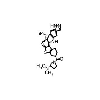 CC(C)Oc1cc2[nH]ncc2cc1Nc1ncnc2sc3c(c12)CC[C@H](C(=O)N1CC[C@H](N(C)C)C1)C3